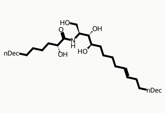 CCCCCCCCCCCC/C=C/CCCC[C@@H](O)[C@@H](O)[C@H](CO)NC(=O)[C@H](O)CCCCCCCCCCCCCC